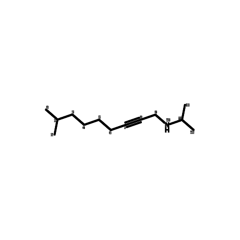 CC(C)CCCCC#CCNC(C)C